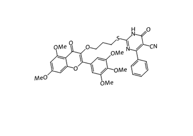 COc1cc(OC)c2c(=O)c(OCCCSc3nc(-c4ccccc4)c(C#N)c(=O)[nH]3)c(-c3cc(OC)c(OC)c(OC)c3)oc2c1